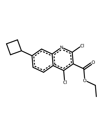 CCOC(=O)c1c(Cl)nc2cc(C3CCC3)ccc2c1Cl